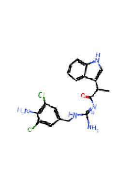 CC(C(=O)/N=C(/N)NCc1cc(Cl)c(N)c(Cl)c1)c1c[nH]c2ccccc12